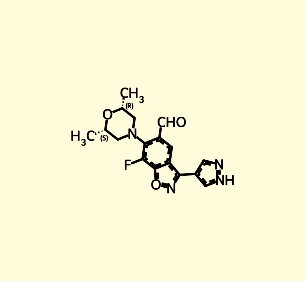 C[C@@H]1CN(c2c(C=O)cc3c(-c4cn[nH]c4)noc3c2F)C[C@H](C)O1